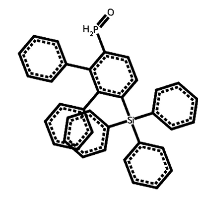 O=[PH2]c1ccc([Si](c2ccccc2)(c2ccccc2)c2ccccc2)c(-c2ccccc2)c1-c1ccccc1